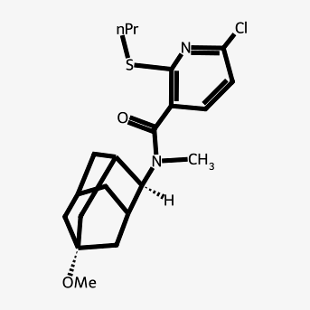 CCCSc1nc(Cl)ccc1C(=O)N(C)[C@H]1C2CC3CC1C[C@](OC)(C3)C2